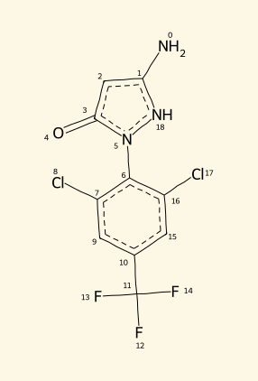 Nc1cc(=O)n(-c2c(Cl)cc(C(F)(F)F)cc2Cl)[nH]1